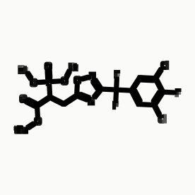 CCOP(=O)(OCC)C(Cc1nc(C(F)(F)c2cc(Cl)c(F)c(Cl)c2)no1)C(=O)OC(C)(C)C